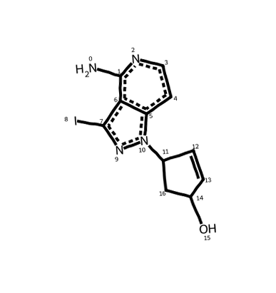 Nc1nccc2c1c(I)nn2C1C=CC(O)C1